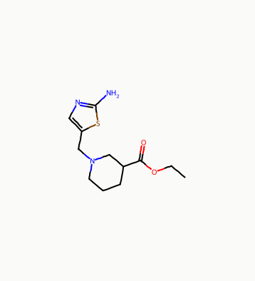 CCOC(=O)C1CCCN(Cc2cnc(N)s2)C1